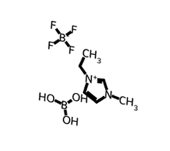 CC[n+]1ccn(C)c1.F[B-](F)(F)F.OB(O)O